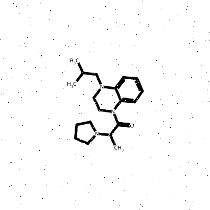 CC(C)CN1CCN(C(=O)C(C)N2CCCC2)c2ccccc21